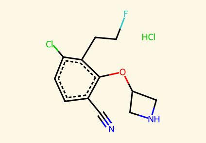 Cl.N#Cc1ccc(Cl)c(CCF)c1OC1CNC1